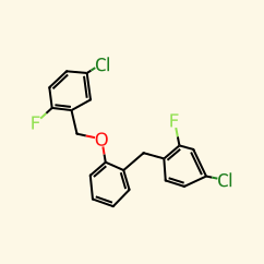 Fc1ccc(Cl)cc1COc1ccccc1Cc1ccc(Cl)cc1F